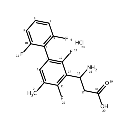 Cc1cc(-c2c(F)cccc2F)c(F)c(C(N)CC(=O)O)c1F.Cl